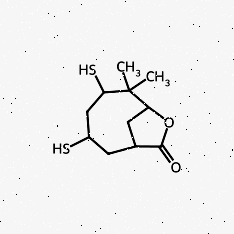 CC1(C)C(S)CC(S)CC2CC1OC2=O